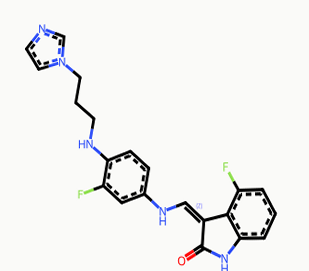 O=C1Nc2cccc(F)c2/C1=C/Nc1ccc(NCCCn2ccnc2)c(F)c1